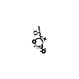 CCCC[C@@H](CCC(C)C1CCc2cccc(c2)[S+]([O-])Nc2nc(cc(-c3c(C)cccc3C)n2)OC[C@H]1CC(C)(C)C)N1C[C@@H](C)O[C@@H](C)C1